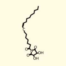 CCCCCCCC/C=C\CCCCCCCC(=O)N1C(=O)C(O)C(O)C1=O